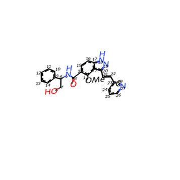 COc1c(C(=O)NC(CO)c2ccccc2)ccc2[nH]nc(/C=C/c3cccnc3)c12